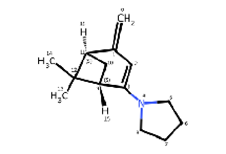 C=C1C=C(N2CCCC2)[C@H]2C[C@H]1C2(C)C